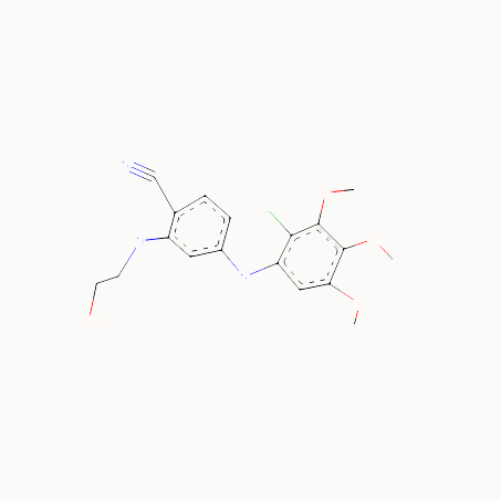 COc1cc(Nc2ccc(C#N)c(NCCO)c2)c(Cl)c(OC)c1OC